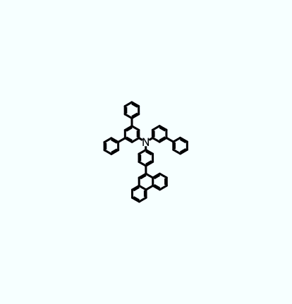 c1ccc(-c2cccc(N(c3ccc(-c4cc5ccccc5c5ccccc45)cc3)c3cc(-c4ccccc4)cc(-c4ccccc4)c3)c2)cc1